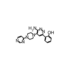 Nc1nnc(-c2ccccc2O)cc1N1CCN(c2ccncn2)CC1